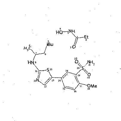 CCC(=O)NO.CCC(C)CC(C)Nc1ncc(-c2ccc(OC)c(S(N)(=O)=O)c2)s1